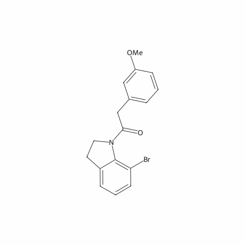 COc1cccc(CC(=O)N2CCc3cccc(Br)c32)c1